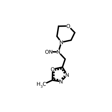 Cc1nnc(CN(N=O)N2CCOCC2)o1